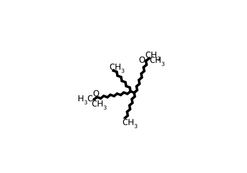 CCCCCCCCCC(CCCCCCCCCC(=O)C(C)C)C(CCCCCCCCC)CCCCCCCCCC(=O)C(C)C